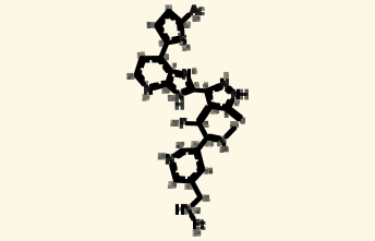 C=c1[nH]nc(-c2nc3c(-c4ccc(C(C)=O)s4)ccnc3[nH]2)/c1=C(F)/C(=N\C)c1cncc(CNCC)c1